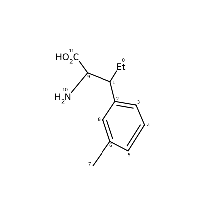 CCC(c1cccc(C)c1)C(N)C(=O)O